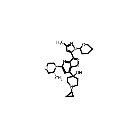 Cc1cc(-c2nsc3c(C4(O)CCN(C5CC5)CC4)cc(N4CCOC[C@H]4C)nc23)n(C2CCCCO2)n1